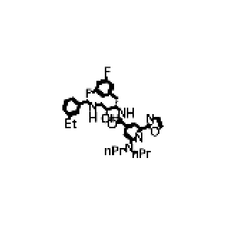 CCCN(CCC)c1cc(C(=O)N[C@@H](Cc2cc(F)cc(F)c2)[C@@H](O)CNCc2cccc(CC)c2)cc(-c2ncco2)n1